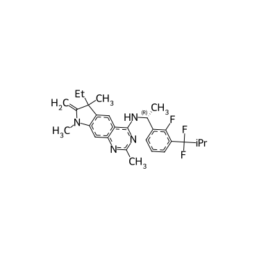 C=C1N(C)c2cc3nc(C)nc(N[C@H](C)c4cccc(C(F)(F)C(C)C)c4F)c3cc2C1(C)CC